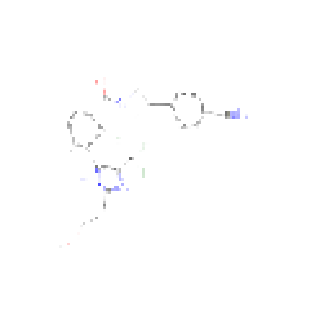 COCCc1nc(C(F)(F)F)c(-c2cc(C(=O)N3CC(c4ccc(C#N)cc4)C3)ccc2C)[nH]1